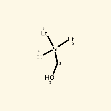 CC[Si]([CH]O)(CC)CC